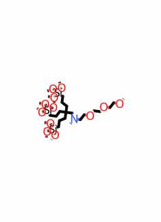 COCCOCCOCCN(C)CC(CCC[Si](OC)(OC)OC)(CCC[Si](OC)(OC)OC)CCC[Si](OC)(OC)OC